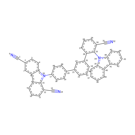 N#Cc1ccc2c(c1)c1cccc(C#N)c1n2-c1ccc(-c2cccc(-c3cccc(C#N)c3-n3c4ccccc4c4ccccc43)c2)cc1